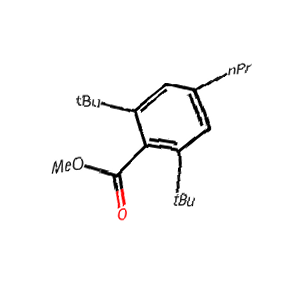 CCCc1cc(C(C)(C)C)c(C(=O)OC)c(C(C)(C)C)c1